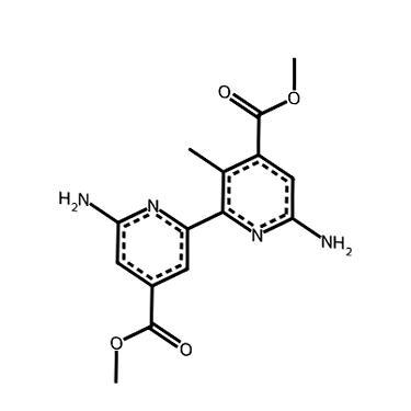 COC(=O)c1cc(N)nc(-c2nc(N)cc(C(=O)OC)c2C)c1